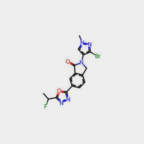 CC(F)c1nnc(-c2ccc3c(c2)C(=O)N(c2cn(C)nc2Br)C3)o1